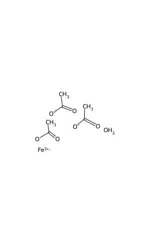 CC(=O)[O-].CC(=O)[O-].CC(=O)[O-].O.[Fe+3]